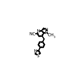 Cn1ncc2nc(C#N)cc(Cc3ccc(-c4cscn4)cc3)c21